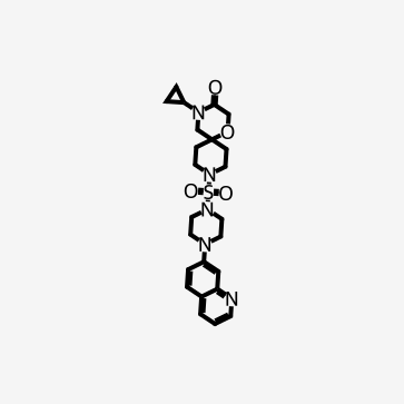 O=C1COC2(CCN(S(=O)(=O)N3CCN(c4ccc5cccnc5c4)CC3)CC2)CN1C1CC1